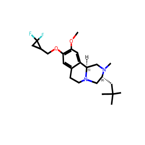 COc1cc2c(cc1OCC1CC1(F)F)CCN1C[C@@H](CC(C)(C)C)N(C)C[C@H]21